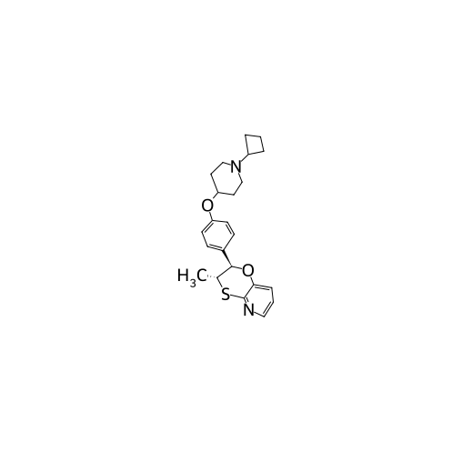 C[C@H]1Sc2ncccc2O[C@@H]1c1ccc(OC2CCN(C3CCC3)CC2)cc1